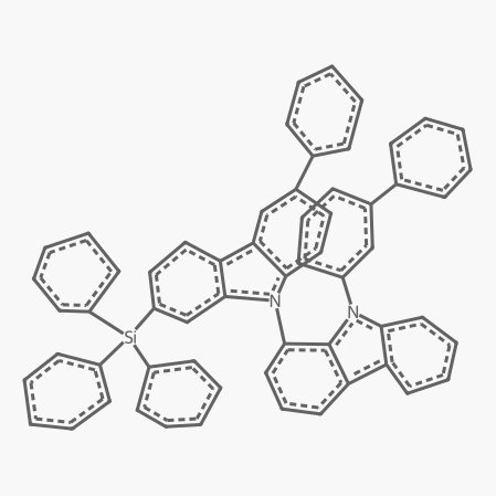 c1ccc(-c2cccc(-n3c4ccccc4c4cccc(-n5c6ccc(-c7ccccc7)cc6c6ccc([Si](c7ccccc7)(c7ccccc7)c7ccccc7)cc65)c43)c2)cc1